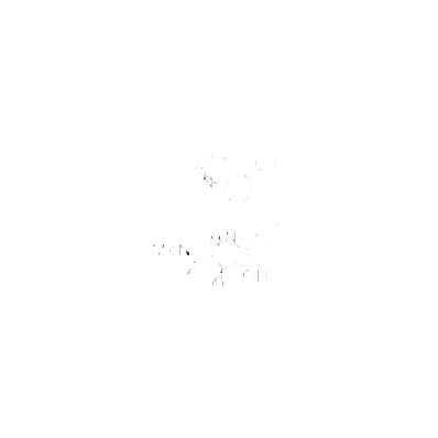 CNC(=O)c1nn(CC2(c3cc(C)c4cccnc4c3)CCCC2)cc(O)c1=O